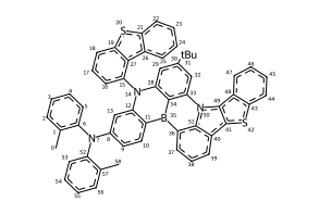 Cc1ccccc1N(c1ccc2c(c1)N(c1cccc3sc4ccccc4c13)c1cc(C(C)(C)C)cc3c1B2c1cccc2c4sc5ccccc5c4n-3c12)c1ccccc1C